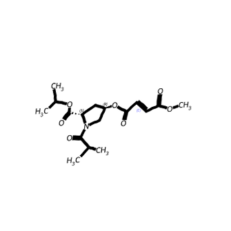 COC(=O)/C=C/C(=O)O[C@@H]1C[C@@H](C(=O)OC(C)C)N(C(=O)C(C)C)C1